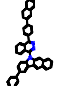 c1ccc(-c2ccc3c(c2)c2cc4ccccc4cc2n3-c2nnc(-c3ccc(-c4ccc5ccccc5c4)cc3)c3ccccc23)cc1